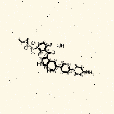 CCN(C)S(=O)(=O)Nc1ccc(F)c(C(=O)c2c[nH]c3ncc(-c4ccc(N5CCC(N)CC5)nc4)cc23)c1F.Cl